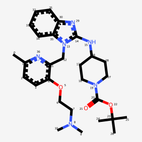 Cc1ccc(OCCN(C)C)c(Cn2c(NC3CCN(C(=O)OC(C)(C)C)CC3)nc3ccccc32)n1